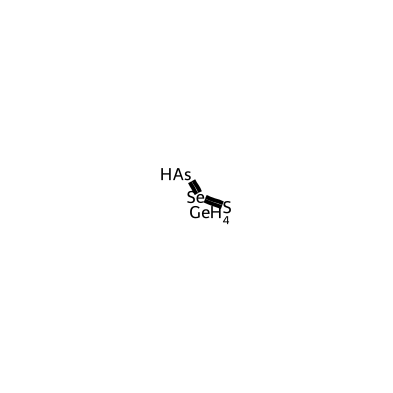 S=[Se]=[AsH].[GeH4]